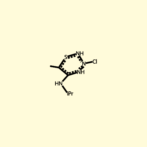 Cc1s[nH]n(Cl)[nH]c1NC(C)C